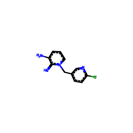 N=c1c(N)cccn1Cc1ccc(Cl)nc1